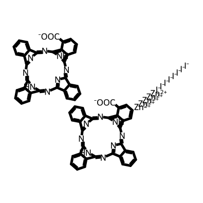 O=C([O-])c1cccc2c3nc4nc(nc5[nH]c(nc6nc(nc([nH]3)c12)-c1ccccc1-6)c1ccccc51)-c1ccccc1-4.O=C([O-])c1cccc2c3nc4nc(nc5[nH]c(nc6nc(nc([nH]3)c12)-c1ccccc1-6)c1ccccc51)-c1ccccc1-4.[I-].[I-].[I-].[I-].[I-].[I-].[I-].[I-].[Zn+2].[Zn+2].[Zn+2].[Zn+2].[Zn+2]